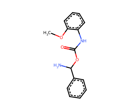 COc1ccccc1NC(=O)OC(N)c1ccccc1